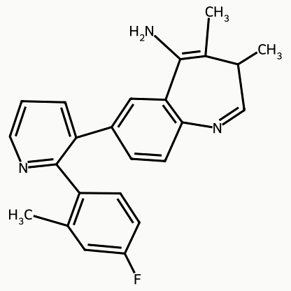 CC1=C(N)c2cc(-c3cccnc3-c3ccc(F)cc3C)ccc2N=CC1C